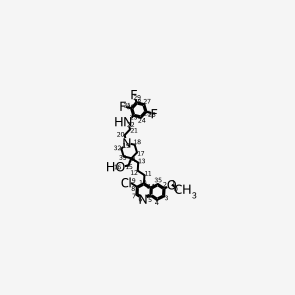 COc1ccc2ncc(Cl)c(CCCC3(CO)CCN(CCNc4cc(F)cc(F)c4F)CC3)c2c1